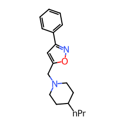 CCCC1CCN(Cc2cc(-c3ccccc3)no2)CC1